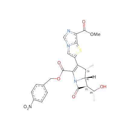 COC(=O)c1ncn2cc(C3=C(C(=O)OCc4ccc([N+](=O)[O-])cc4)N4C(=O)[C@H]([C@@H](C)O)[C@H]4[C@H]3C)sc12